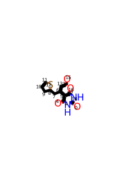 O=c1[nH]c(=O)c2c(CC3CC=CS3)cc(=O)oc2[nH]1